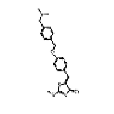 CSC1=NC(=O)C(=Cc2ccc(OCc3ccc(CC(C)C)cc3)cc2)S1